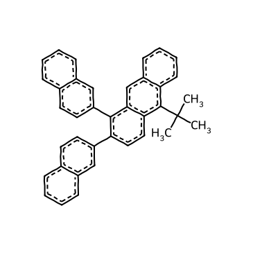 CC(C)(C)c1c2ccccc2cc2c(-c3ccc4ccccc4c3)c(-c3ccc4ccccc4c3)ccc12